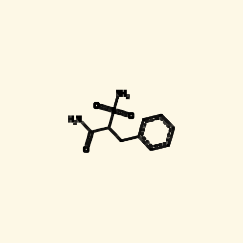 NC(=O)C(Cc1ccccc1)S(N)(=O)=O